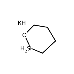 C1CC[SiH2]OC1.[KH]